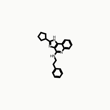 c1ccc(CCNc2nc3ccccc3c3[nH]c(C4CCCC4)nc23)cc1